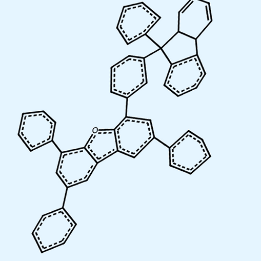 C1=CC2c3ccccc3C(c3ccccc3)(c3cccc(-c4cc(-c5ccccc5)cc5c4oc4c(-c6ccccc6)cc(-c6ccccc6)cc45)c3)C2C=C1